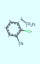 CCOC(C)=O.N#Cc1ccccc1Cl